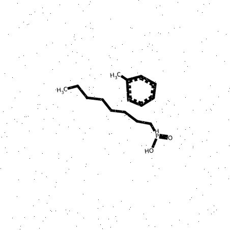 CCCCCCCC[PH](=O)O.Cc1ccccc1